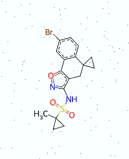 CC1(S(=O)(=O)Nc2noc3c2CC2(CC2)c2ccc(Br)cc2-3)CC1